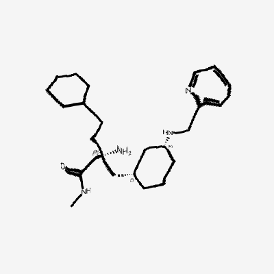 CNC(=O)[C@@](N)(CCC1CCCCC1)C[C@H]1CCC[C@@H](NCc2ccccn2)C1